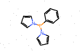 c1ccc(P(n2cccc2)n2cccc2)cc1